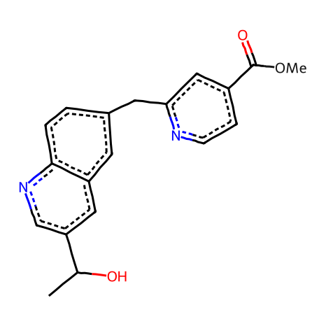 COC(=O)c1ccnc(Cc2ccc3ncc(C(C)O)cc3c2)c1